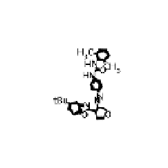 Cc1cccc(C)c1NC(=O)Nc1ccc(N=NC2=C(c3nc4cc(C(C)(C)C)ccc4o3)C=COC2)cc1